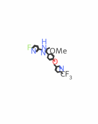 COC1=CC(OCC2=CCC(C(F)(F)F)N=C2)=CCC1c1nc(-c2ccc(F)nc2)[nH]c1C